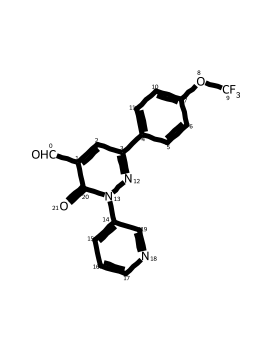 O=Cc1cc(-c2ccc(OC(F)(F)F)cc2)nn(-c2cccnc2)c1=O